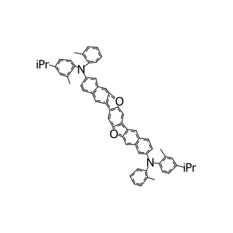 Cc1ccccc1N(c1ccc2cc3c(cc2c1)oc1cc2c(cc13)oc1cc3cc(N(c4ccccc4C)c4ccc(C(C)C)cc4C)ccc3cc12)c1ccc(C(C)C)cc1C